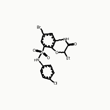 CCC1Oc2c(cc(Br)cc2S(=O)(=O)Nc2ccc(Cl)cc2)NC1=O